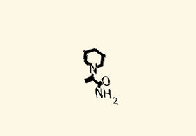 C=C(C(N)=O)N1CCCCC1